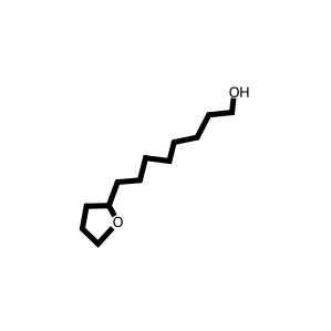 OCCCCCCCCC1CCCO1